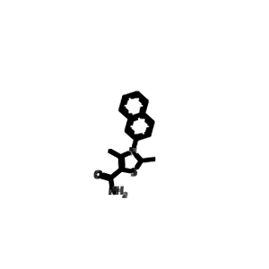 CC1=C(C(N)=O)SC(C)N1c1ccc2ccccc2c1